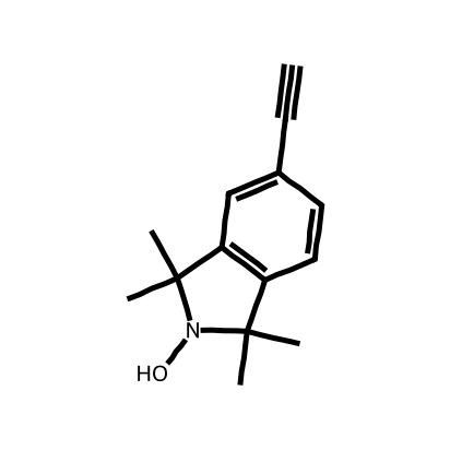 C#Cc1ccc2c(c1)C(C)(C)N(O)C2(C)C